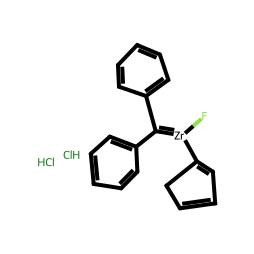 Cl.Cl.[F][Zr]([C]1=CC=CC1)=[C](c1ccccc1)c1ccccc1